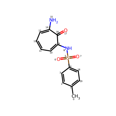 Cc1ccc(S(=O)(=O)Nc2ccccc(N)c2=O)cc1